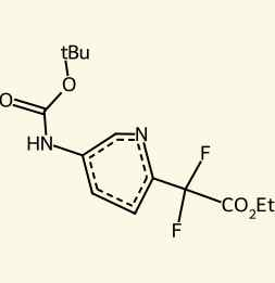 CCOC(=O)C(F)(F)c1ccc(NC(=O)OC(C)(C)C)cn1